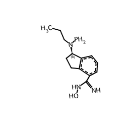 CCCN(P)[C@@H]1CCc2c(C(=N)NO)cccc21